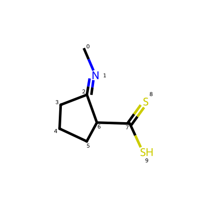 CN=C1CCCC1C(=S)S